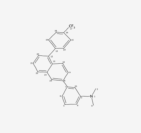 CN(C)c1cccc(-c2ccc3c(-c4ccc(C(F)(F)F)cc4)cccc3c2)c1